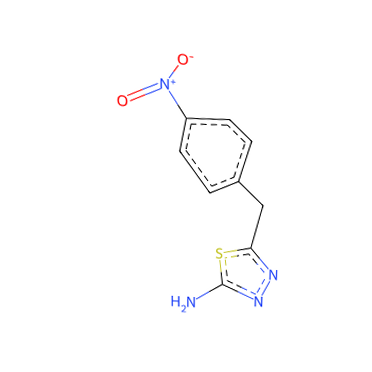 Nc1nnc(Cc2ccc([N+](=O)[O-])cc2)s1